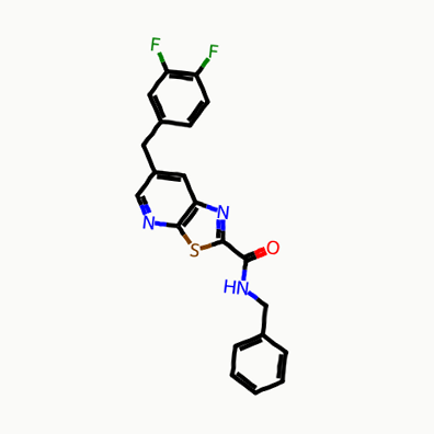 O=C(NCc1ccccc1)c1nc2cc(Cc3ccc(F)c(F)c3)cnc2s1